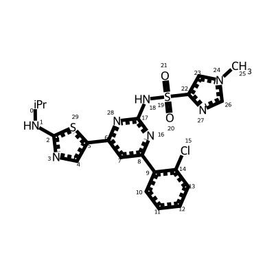 CC(C)Nc1ncc(-c2cc(-c3ccccc3Cl)nc(NS(=O)(=O)c3cn(C)cn3)n2)s1